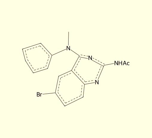 CC(=O)Nc1nc(N(C)c2ccccc2)c2cc(Br)ccc2n1